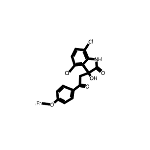 CC(C)Oc1ccc(C(=O)CC2(O)C(=O)Nc3c(Cl)ccc(Cl)c32)cc1